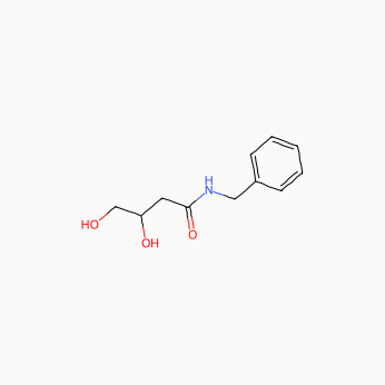 O=C(CC(O)CO)NCc1ccccc1